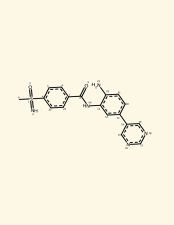 CS(=N)(=O)c1ccc(C(=O)Nc2cc(-c3cncnc3)ccc2N)cc1